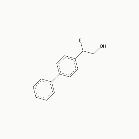 OCC(F)c1ccc(-c2ccccc2)cc1